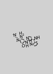 CNc1ccsc1C(=N)c1ccnc(Nc2cc(N)c(N(C)CCN(C)C)cc2OC)c1